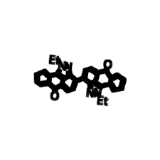 CCn1nc2c(-c3ccc4c5c(n(CC)nc35)-c3ccccc3C4=O)ccc3c2c1-c1ccccc1C3=O